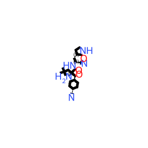 CC(C)(C)C[C@](N)(C(=O)N[C@H](C#N)C[C@@H]1CCNC1=O)C(=O)[C@H]1CC[C@H](C#N)CC1